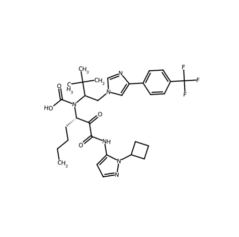 CCCC[C@@H](C(=O)C(=O)Nc1ccnn1C1CCC1)N(C(=O)O)C(Cn1cnc(-c2ccc(C(F)(F)F)cc2)c1)C(C)(C)C